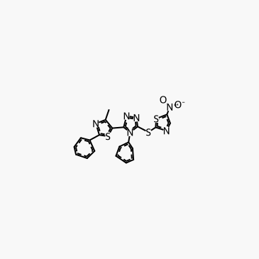 Cc1nc(-c2ccccc2)sc1-c1nnc(Sc2ncc([N+](=O)[O-])s2)n1-c1ccccc1